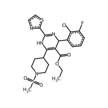 CCOC(=O)C1=C(C2CCN(S(C)(=O)=O)CC2)NC(c2nccs2)=NC1c1cccc(F)c1Cl